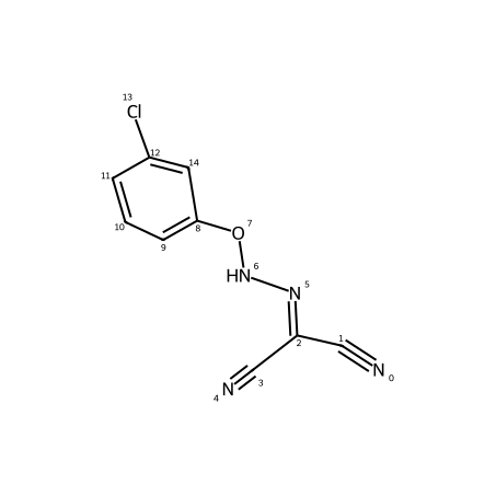 N#CC(C#N)=NNOc1cccc(Cl)c1